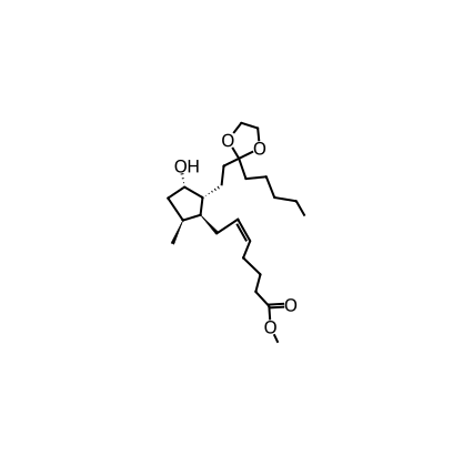 CCCCCC1(CC[C@@H]2[C@@H](C/C=C\CCCC(=O)OC)[C@@H](C)C[C@@H]2O)OCCO1